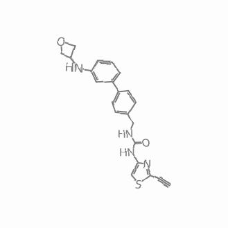 C#Cc1nc(NC(=O)NCc2ccc(-c3cccc(NC4COC4)c3)cc2)cs1